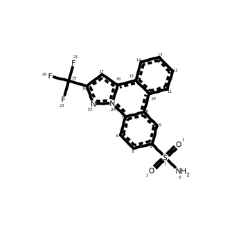 NS(=O)(=O)c1ccc2c(c1)c1ccccc1c1cc(C(F)(F)F)nn21